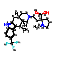 C[C@H]1c2c([nH]c3ccc(C(F)(F)F)cc23)C[C@H]2CCN(CCC3(C(=O)O)CCCN3C)C[C@@H]21